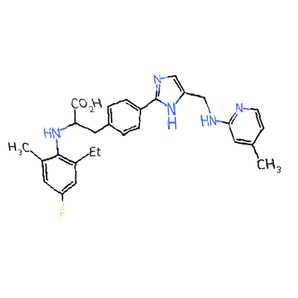 CCc1cc(F)cc(C)c1NC(Cc1ccc(-c2ncc(CNc3cc(C)ccn3)[nH]2)cc1)C(=O)O